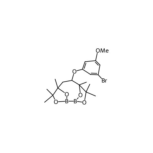 COc1cc(Br)cc(OC2CC3(C)OB(OC3(C)C)B3OC(C)(C)C2(C)O3)c1